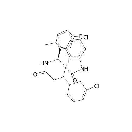 Cc1ccc(F)cc1[C@@H]1NC(=O)C[C@@H](C2C=CC=C(Cl)C2)[C@]12C(=O)Nc1cc(Cl)ccc12